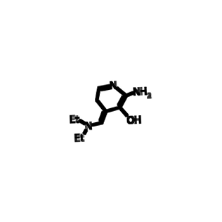 CCN(C=C1CC=NC(N)=C1O)CC